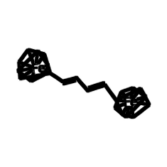 C(C=C[C]12[CH]3[CH]4[CH]5[CH]1[Fe]45321678[CH]2[CH]1[CH]6[CH]7[CH]28)=C[C]12[CH]3[CH]4[CH]5[CH]1[Fe]45321678[CH]2[CH]1[CH]6[CH]7[CH]28